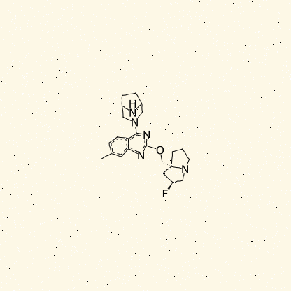 Cc1ccc2c(N3CC4CCC(C3)N4)nc(OC[C@]34CCCN3C[C@@H](F)C4)nc2c1